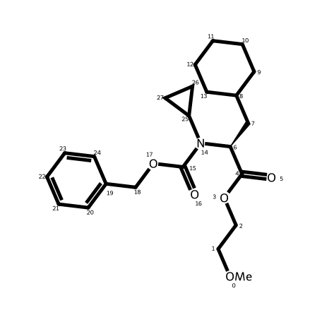 COCCOC(=O)[C@H](CC1CCCCC1)N(C(=O)OCc1ccccc1)C1CC1